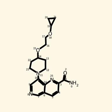 NC(=O)c1ccc2cncc(N3CCC(OCCOC4CC4)CC3)c2n1